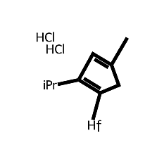 CC1=CC(C(C)C)=[C]([Hf])C1.Cl.Cl